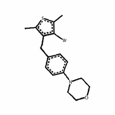 Cc1sc(C)c(Cc2ccc(N3CCOCC3)cc2)c1Br